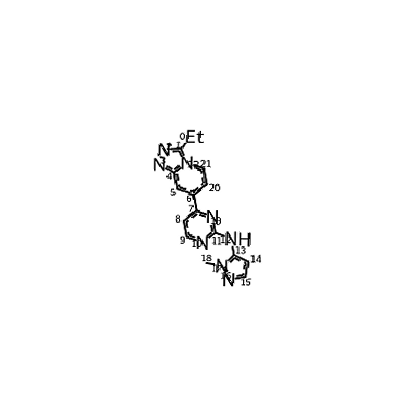 CCc1nnc2cc(-c3ccnc(Nc4ccnn4C)n3)ccn12